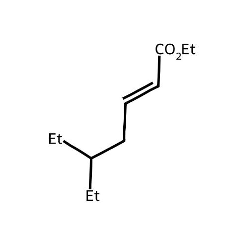 CCOC(=O)C=CCC(CC)CC